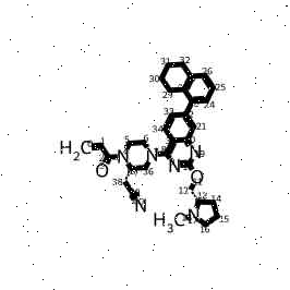 C=CC(=O)N1CCN(c2nc(OC[C@@H]3CCCN3C)nc3cc(-c4cccc5c4CCCC5)ccc23)C[C@@H]1CC#N